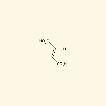 O=C(O)C=CC(=O)O.[LiH]